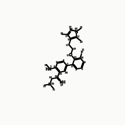 CNc1ccc(-c2cccc(F)c2OCCc2c(C)nn(C)c2C)cc1C(=N)CN(C)C